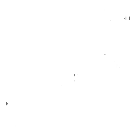 CCC(CCCCC=CCc1ccc(C(N)=O)cc1Br)C(=O)O